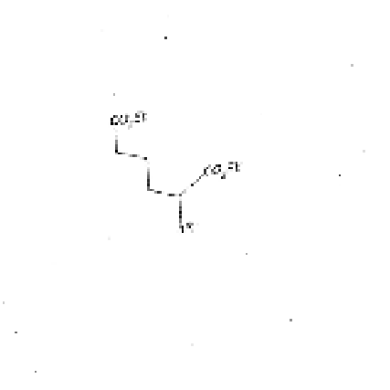 CCCC(CCCC(=O)OCC)C(=O)OCC